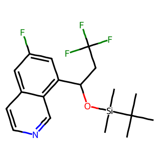 CC(C)(C)[Si](C)(C)OC(CC(F)(F)F)c1cc(F)cc2ccncc12